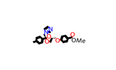 COC(=O)c1ccc(OC[C@@H]2CO[C@](Cn3ccnc3)(c3ccc(C)cc3)O2)cc1